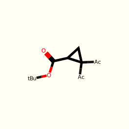 CC(=O)C1(C(C)=O)CC1C(=O)OC(C)(C)C